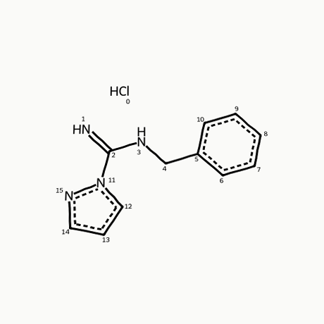 Cl.N=C(NCc1ccccc1)n1cccn1